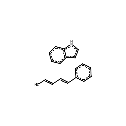 N#CC=CC=Cc1ccccc1.c1ccc2[nH]ccc2c1